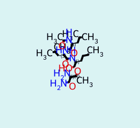 CCCC[C@H](NC(=O)[C@H](CC(C)C)NC(=O)[C@H](CC(C)C)NC(C)=O)C(O)O[C@H](C)[C@H](N)C(N)=O